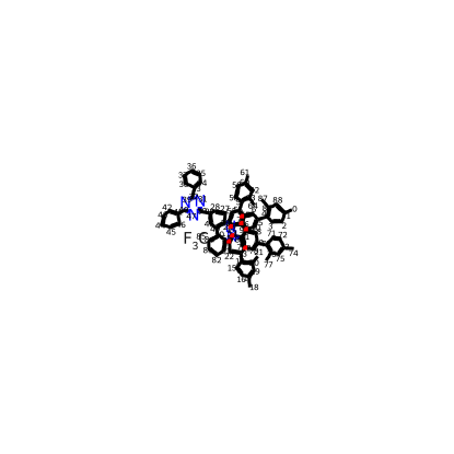 Cc1ccc(-c2ccc3c(c2)c2cc(-c4ccc(C)cc4C)ccc2n3-c2ccc(-c3nc(-c4ccccc4)nc(-c4ccccc4)n3)cc2-c2c(-n3c4ccc(-c5ccc(C)cc5C)cc4c4cc(-c5ccc(C)cc5C)ccc43)cccc2C(F)(F)F)c(C)c1